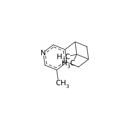 Cc1cncc2c1CC1CC2C1(C)C